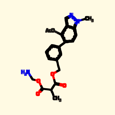 CC(=O)Oc1c(-c2cccc(COC(=O)C(C)C(=O)OCN)c2)ccc2c1cnn2C